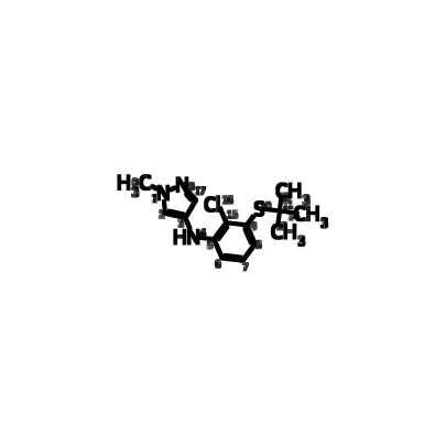 Cn1cc(Nc2cccc(SC(C)(C)C)c2Cl)cn1